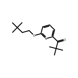 CC(C)(C)CCOc1cccc(C(=O)C(C)(C)C)n1